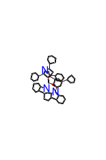 C=C/C(=C\C(=C/C)c1ccccc1)n1c2ccccc2c2ccc3c4ccccc4n(-c4cc(-c5ccccc5)cc(-c5cc(-c6ccccc6)nc(-c6ccccc6)c5)c4)c3c21